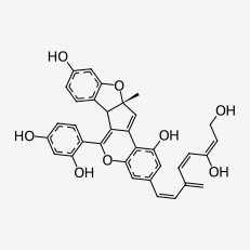 C=C(/C=C\C(O)=C/CO)/C=C\c1cc(O)c2c(c1)OC(c1ccc(O)cc1O)=C1C2=C[C@@]2(C)Oc3cc(O)ccc3C12